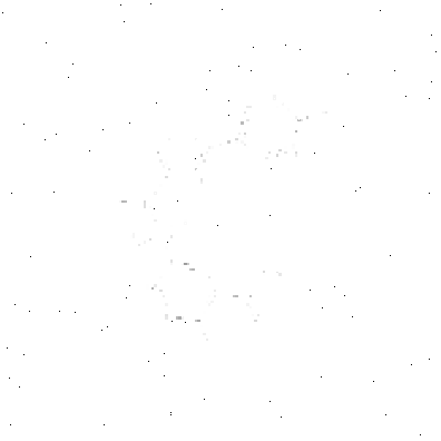 CCN(c1csc(-c2ccc(C)cc2)n1)S(=O)(=O)c1ccc(C)c(C(=O)OC)c1